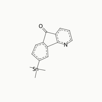 [CH3][Sn]([CH3])([CH3])[c]1ccc2c(c1)-c1ncccc1C2=O